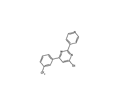 CCc1cc(-c2cccc(C(F)(F)F)c2)nc(-c2ccncc2)n1